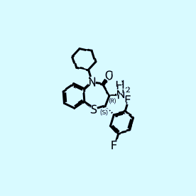 N[C@@H]1C(=O)N(C2CCCCC2)c2ccccc2S[C@H]1c1cc(F)ccc1F